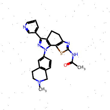 CC(=O)Nc1nc2c(s1)-c1c(c(-c3cccnc3)nn1-c1ccc3c(c1)CCN(C)C3)CC2